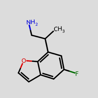 CC(CN)c1cc(F)cc2ccoc12